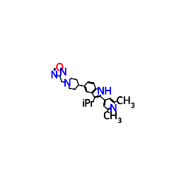 Cc1cc(-c2[nH]c3ccc(C4CCN(Cc5ncon5)CC4)cc3c2C(C)C)cc(C)n1